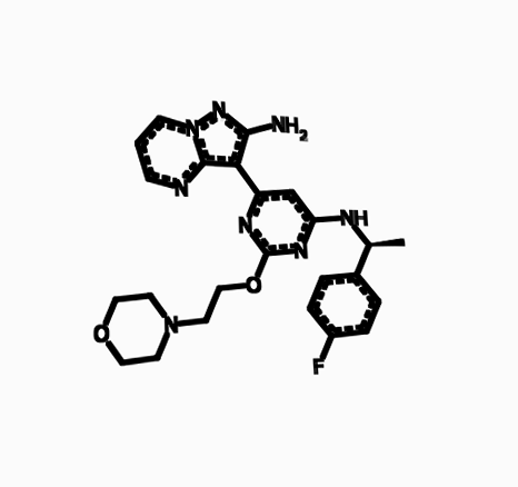 C[C@H](Nc1cc(-c2c(N)nn3cccnc23)nc(OCCN2CCOCC2)n1)c1ccc(F)cc1